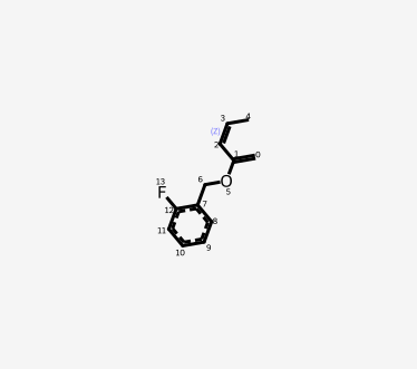 C=C(/C=C\C)OCc1ccccc1F